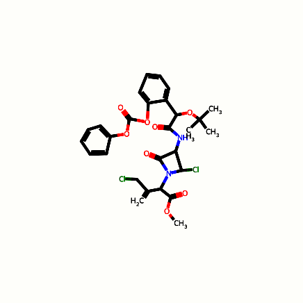 C=C(CCl)C(C(=O)OC)N1C(=O)C(NC(=O)C(OC(C)(C)C)c2ccccc2OC(=O)Oc2ccccc2)C1Cl